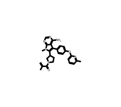 C=C(C)C(=O)N1CCC(c2c(-c3ccc(Oc4cccc(C)n4)cc3)c3c(N)ncnc3n2C)C1